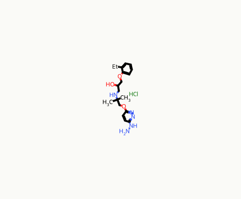 CCc1ccccc1OCC(O)CNC(C)(C)COc1ccc(NN)nn1.Cl